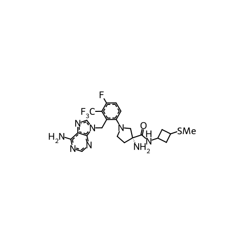 CSC1CC(NC(=O)[C@@]2(N)CCN(c3ccc(F)c(C(F)(F)F)c3Cn3cnc4c(N)ncnc43)C2)C1